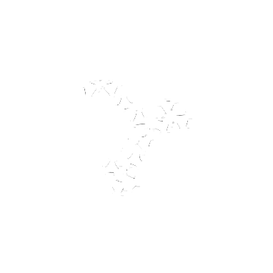 CC1(C)c2cc(N(c3ccc(-c4ccc(-c5ccc6oc7ccccc7c6c5)cc4)cc3)c3ccc4c5ccccc5c5ccccc5c4c3)ccc2-c2ccc(N(c3ccccc3)c3cccc4ccccc34)cc21